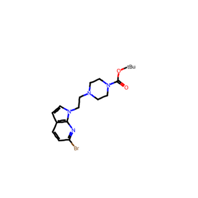 CC(C)(C)OC(=O)N1CCN(CCn2ccc3ccc(Br)nc32)CC1